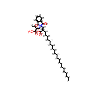 CCCCCCCCCCCCCCCCCCCCCCC(=C[N+]1(C=C(CC)C(=O)O)C(=O)c2ccccc2C1=O)C(=O)[O-]